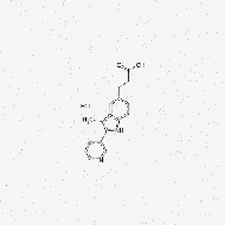 Cc1c(-c2cccnc2)[nH]c2ccc(CCC(=O)O)cc12.Cl